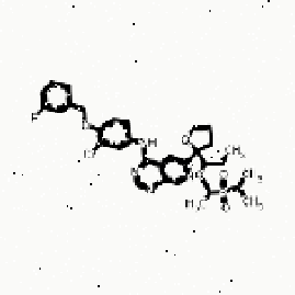 CCC(OC(C)S(=O)(=O)C(C)C)C1(c2cc3c(Nc4ccc(OCc5cccc(F)c5)c(Cl)c4)ncnc3cn2)CC=CO1